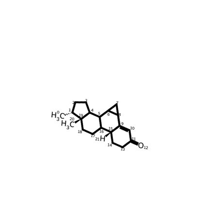 C[C@@H]1CCC2C3C4CC4C4=CC(=O)CC[C@@H]4C3CC[C@@]21C